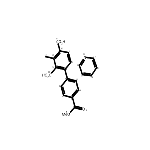 COC(=O)c1ccc(-c2ccc(C(=O)O)c(C)c2C(=O)O)cc1.c1ccncc1